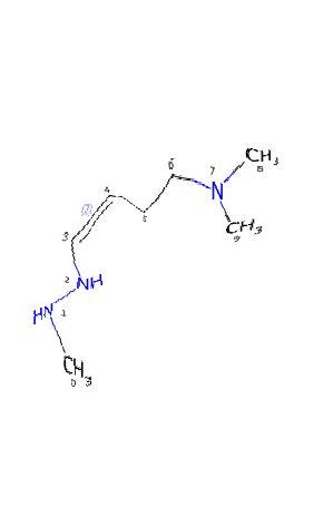 CNN/C=C\CCN(C)C